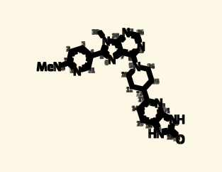 CNc1ccc(-c2nc3c(N4CCC(c5ccc6[nH]c(=O)[nH]c6n5)CC4)ncnc3n2C)cn1